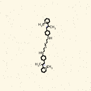 C/C(=C\c1ccc(NCCSSCCNc2ccc(/C=C(\C)c3cccc[n+]3C)cc2)cc1)c1cccc[n+]1C